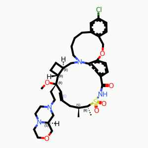 CO[C@@]1(CCN2CCN3CCOC[C@@H]3C2)/C=C/C[C@H](C)[C@@H](C)S(=O)(=O)NC(=O)c2ccc3c(c2)N(CCCCc2cc(Cl)ccc2CO3)C[C@@H]2CC[C@H]21